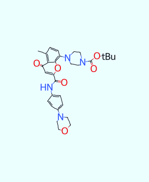 Cc1ccc(N2CCN(C(=O)OC(C)(C)C)CC2)c2oc(C(=O)Nc3ccc(N4CCOCC4)cc3)cc(=O)c12